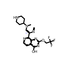 C=N/C(=C\N(C)C1CCNCC1)c1nccc2c(O)nc(OCC(F)(F)F)nc12